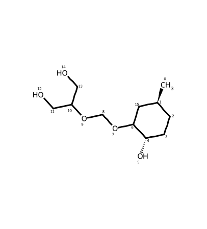 C[C@H]1CC[C@H](O)C(OCOC(CO)CO)C1